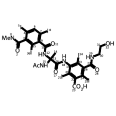 CNC(=O)c1c(I)cc(I)c(C(=O)NC(C)(NC(C)=O)C(=O)Nc2c(I)c(C(=O)O)c(I)c(C(=O)NCCO)c2I)c1I